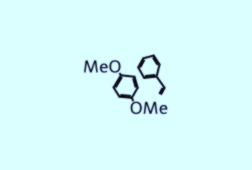 C=Cc1ccccc1.COc1ccc(OC)cc1